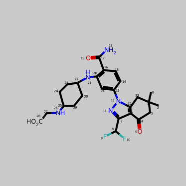 CC1(C)CC(=O)c2c(C(F)F)nn(-c3ccc(C(N)=O)c(NC4CCC(NCC(=O)O)CC4)c3)c2C1